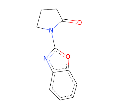 O=C1CCCN1c1nc2ccccc2o1